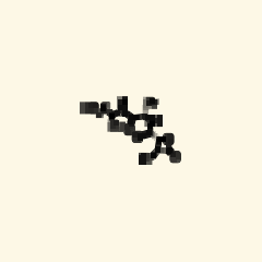 CC[C@H](C)[C@H](NC(=O)[C@@H](NC(=O)[C@@H]1OC(=O)[C@H]1C(C)C)C(C)C)C(=O)O